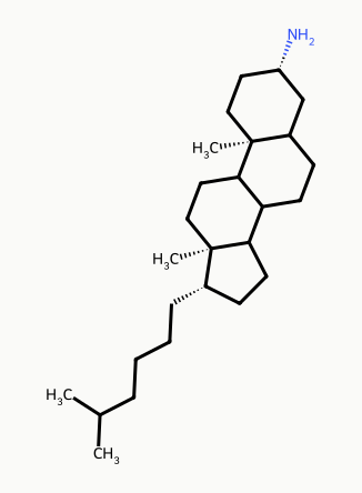 CC(C)CCCC[C@H]1CCC2C3CCC4C[C@@H](N)CC[C@]4(C)C3CC[C@@]21C